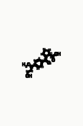 CN(CCO)c1ccc(C(=O)N2CCCC2C(=O)O)cc1